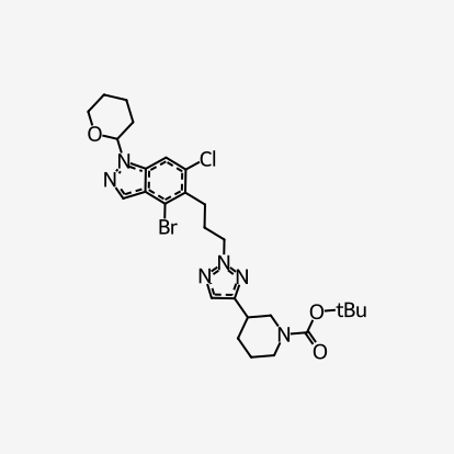 CC(C)(C)OC(=O)N1CCCC(c2cnn(CCCc3c(Cl)cc4c(cnn4C4CCCCO4)c3Br)n2)C1